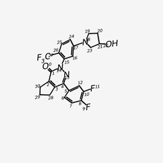 O=c1c2c(c(-c3ccc(F)c(F)c3)nn1-c1cc(N3CCC(O)C3)ccc1C(F)(F)F)CCC2